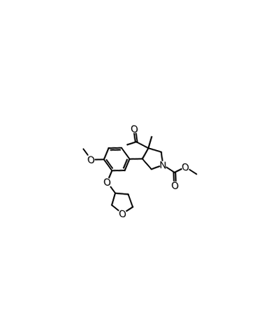 COC(=O)N1CC(c2ccc(OC)c(OC3CCOC3)c2)C(C)(C(C)=O)C1